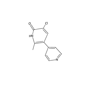 Cc1[nH]c(=O)c(Cl)cc1-c1ccncc1